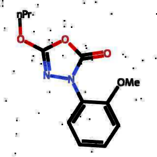 CCCOc1nn(-c2ccccc2OC)c(=O)o1